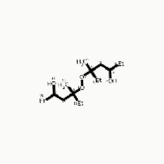 CCC(O)CC(C)(CC)OOC(C)(CC)CC(O)CC